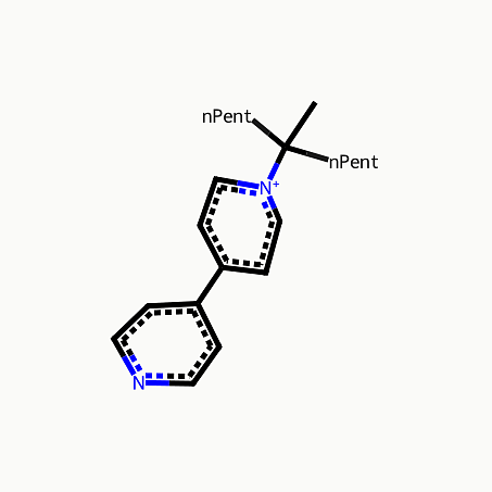 CCCCCC(C)(CCCCC)[n+]1ccc(-c2ccncc2)cc1